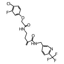 C=C(CCNC(=O)COc1ccc(Cl)c(F)c1)C(=O)NCc1ccc(C(F)(F)F)nc1